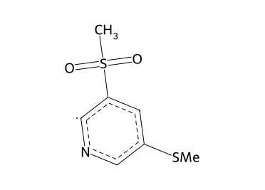 CSc1cn[c]c(S(C)(=O)=O)c1